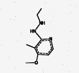 CCNNc1nccc(OC)c1C